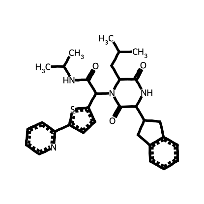 CC(C)CC1C(=O)NC(C2Cc3ccccc3C2)C(=O)N1C(C(=O)NC(C)C)c1ccc(-c2ccccn2)s1